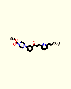 CC(C)(C)OC(=O)N1CCN(c2cccc(C(=O)/C=C/c3cccc(/C=C/C(=O)O)n3)c2)CC1